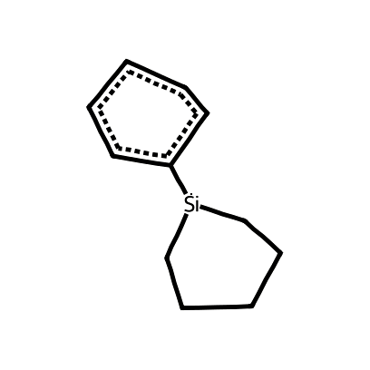 c1ccc([Si]2CCCCC2)cc1